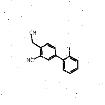 Cc1ccccc1-c1ccc(CC#N)c(C#N)c1